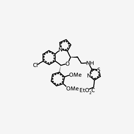 CCOC(=O)Cc1csc(NCC[C@H]2O[C@H](c3cccc(OC)c3OC)c3cc(Cl)ccc3-n3cccc32)n1